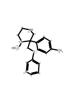 Cc1ccc(C2(COc3cccnc3)CNCCN2C(=O)O)cc1